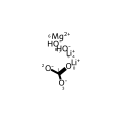 O=C([O-])[O-].[Li+].[Li+].[Mg+2].[OH-].[OH-]